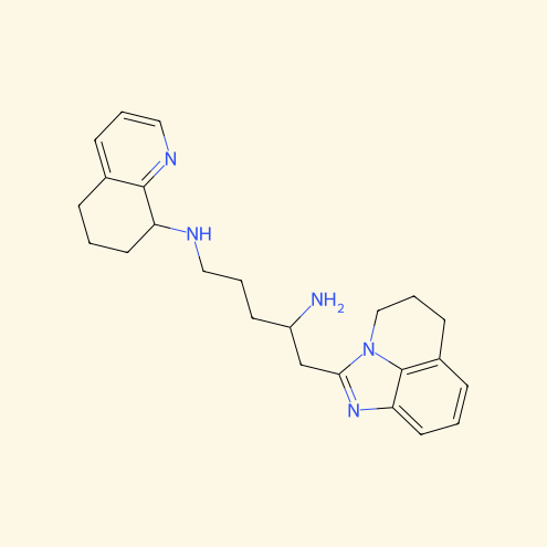 NC(CCCNC1CCCc2cccnc21)Cc1nc2cccc3c2n1CCC3